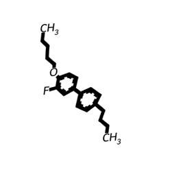 CCCCCOc1ccc(-c2ccc(CCCC)cc2)cc1F